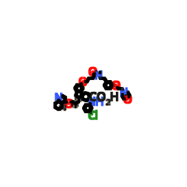 C[C@@H](COc1ccnc2c1[C@H](C)CCC2)C[C@H]1Cc2ccc(OCCCC(=O)N(C)CCc3cccc(OCCN4CCOCC4)c3)cc2C12CCC(Nc1cccc(Cl)c1)(C(=O)O)CC2